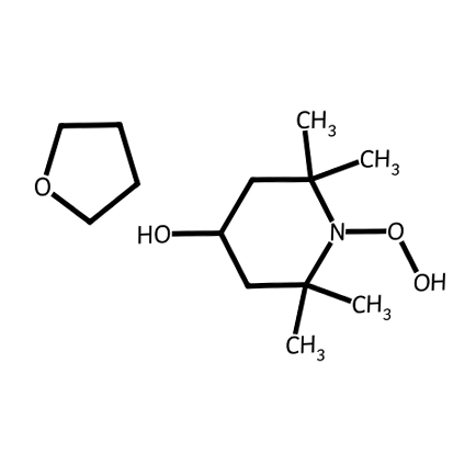 C1CCOC1.CC1(C)CC(O)CC(C)(C)N1OO